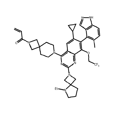 C=CC(=O)N1CC2(CCN(c3nc(N4CC5(CCCN5CC)C4)nc4c(OCC(F)(F)F)c(-c5c(C)ccc6[nH]ncc56)c(C5CC5)cc34)CC2)C1